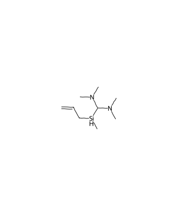 C=CC[SiH](C)C(N(C)C)N(C)C